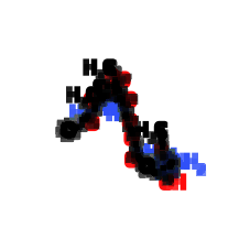 CCCCOc1nc(N)c2nc(O)n(Cc3ccc(C(=O)NCCOCCOCCNC(=O)[C@@H](CCC(=O)OCC)NC(=O)C(NC(=O)CNC(=O)/C=C/c4ccccc4)C(C)C)cc3)c2n1